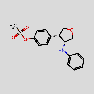 O=S(=O)(Oc1ccc([C@@H]2COC[C@@H]2Nc2ccccc2)cc1)C(F)(F)F